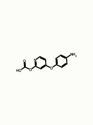 Nc1ccc(Oc2ccnc(OC(=O)O)c2)cc1